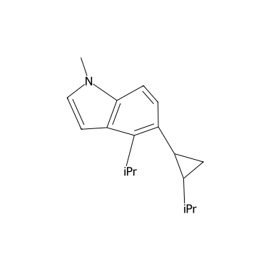 CC(C)c1c(C2CC2C(C)C)ccc2c1ccn2C